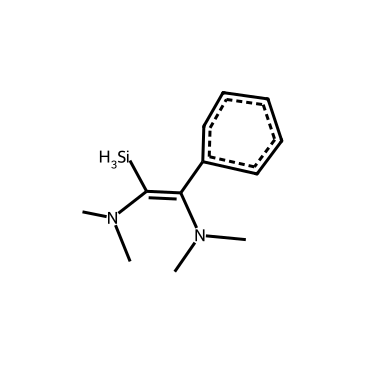 CN(C)C([SiH3])=C(c1ccccc1)N(C)C